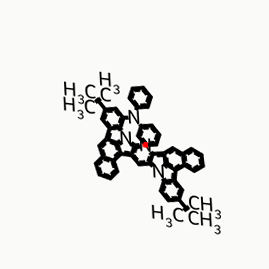 CC(C)(C)c1ccc2c(c1)c1c3ccccc3cc3c4nc5c(cc4n2c31)c1c2ccccc2cc2c3cc(C(C)(C)C)cc(N(c4ccccc4)c4ccccc4)c3n5c21